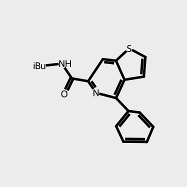 CCC(C)NC(=O)c1cc2sccc2c(-c2ccccc2)n1